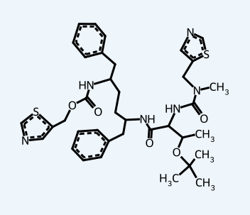 CC(OC(C)(C)C)C(NC(=O)N(C)Cc1cncs1)C(=O)NC(CCC(Cc1ccccc1)NC(=O)OCc1cncs1)Cc1ccccc1